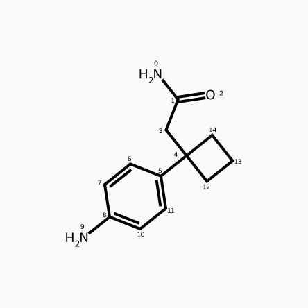 NC(=O)CC1(c2ccc(N)cc2)CCC1